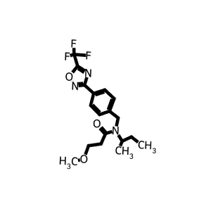 CCC(C)N(Cc1ccc(-c2noc(C(F)(F)F)n2)cc1)C(=O)CCOC